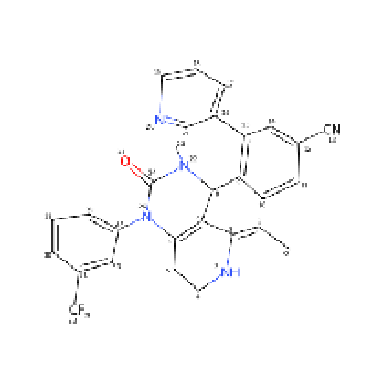 CC=C1NCCC2=C1C(c1ccc(C#N)cc1-c1cccnc1)N(C)C(=O)N2c1cccc(C(F)(F)F)c1